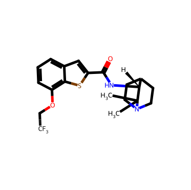 CC1(C)[C@H](NC(=O)c2cc3cccc(OCC(F)(F)F)c3s2)C2CCN1CC2